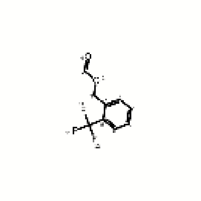 O=COCc1ccccc1C(F)(F)F